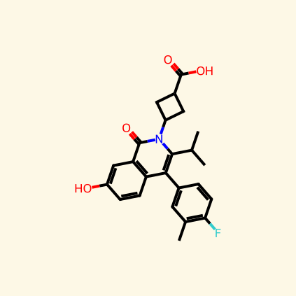 Cc1cc(-c2c(C(C)C)n(C3CC(C(=O)O)C3)c(=O)c3cc(O)ccc23)ccc1F